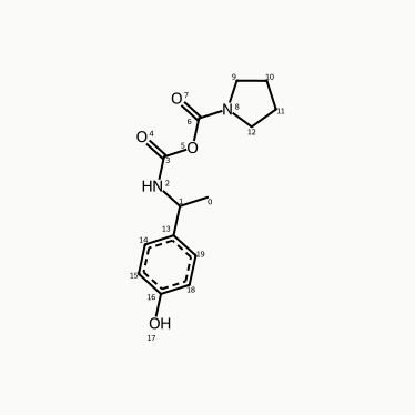 CC(NC(=O)OC(=O)N1CCCC1)c1ccc(O)cc1